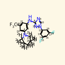 [2H]C1([2H])N(c2cc(Nc3ncn(-c4cc(F)cc(F)c4)n3)cc(C(F)(F)F)c2)C([2H])([2H])C([2H])([2H])C([2H])([2H])C1([2H])[2H]